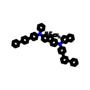 CC1(C)c2cc(N(c3ccccc3)c3ccc(-c4ccc(-c5ccccc5)cc4)cc3)ccc2-c2ccc(N(c3ccc(-c4cccc(-c5ccccc5)c4)cc3)c3ccc4ccccc4c3)cc21